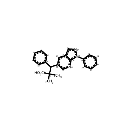 CC(C)(C(=O)O)C(c1ccccc1)c1cnc2c(cnn2-c2ccccc2)c1